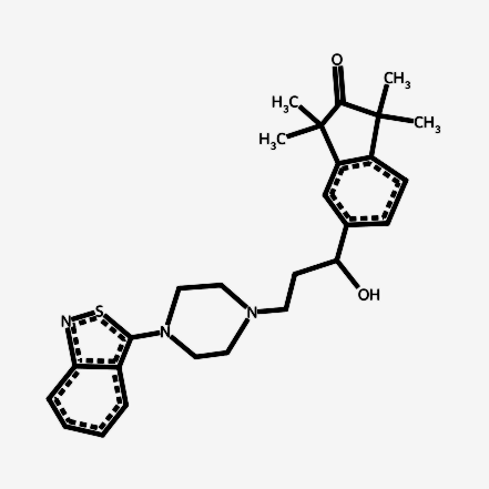 CC1(C)C(=O)C(C)(C)c2cc(C(O)CCN3CCN(c4snc5ccccc45)CC3)ccc21